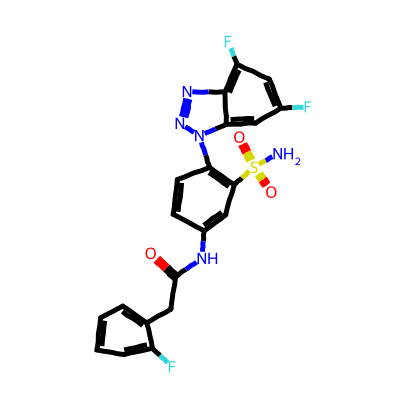 NS(=O)(=O)c1cc(NC(=O)Cc2ccccc2F)ccc1-n1nnc2c(F)cc(F)cc21